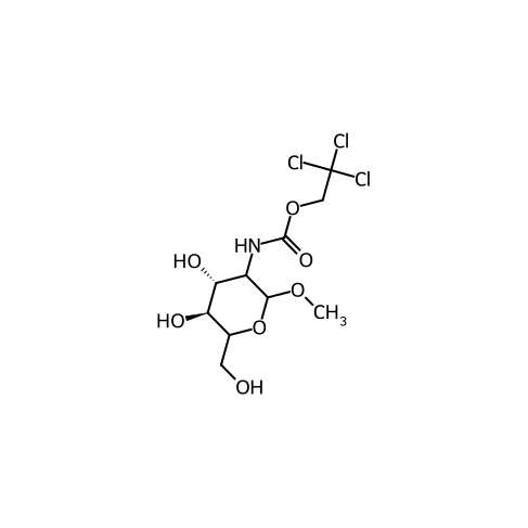 COC1OC(CO)[C@@H](O)[C@H](O)C1NC(=O)OCC(Cl)(Cl)Cl